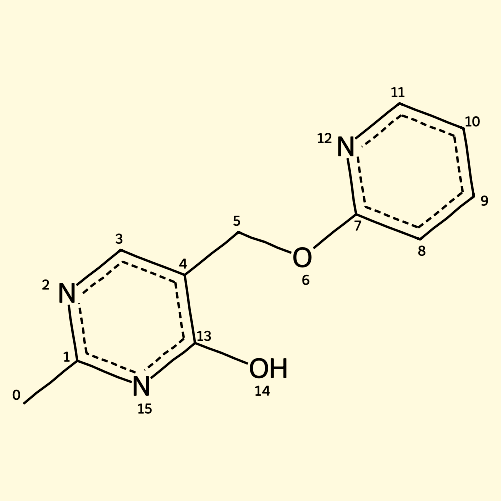 Cc1ncc(COc2ccccn2)c(O)n1